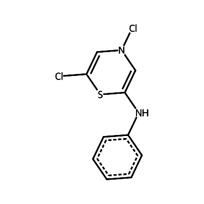 ClC1=CN(Cl)C=C(Nc2ccccc2)S1